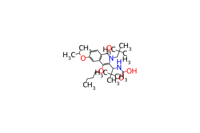 CCCCOc1c(C(NC(=O)O)C(C)(C)C)n(CC(C)(C)C)c(=O)c2ccc(OC(C)C)cc12